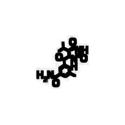 Cc1cc(C(N)=O)cc(C(=O)c2[nH]c(=O)[nH]c(=O)c2C(C)C)c1